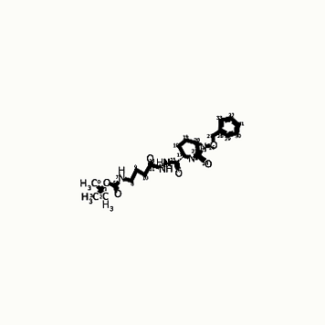 CC(C)(C)OC(=O)NCCCC(=O)NNC(=O)[C@@H]1CCC2CN1C(=O)N2OCc1ccccc1